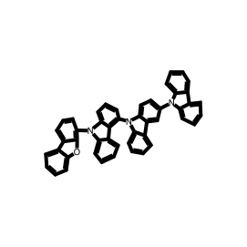 c1ccc2c(c1)oc1c(-n3c4ccccc4c4c(-n5c6ccccc6c6cc(-n7c8ccccc8c8ccccc87)ccc65)cccc43)cccc12